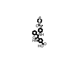 CN1CCN(C(=O)N(C)c2ccc(NC(=C3C(=O)Nc4cc(C(=O)O)ccc43)c3ccccc3)cc2)CC1